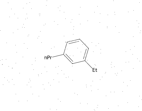 CCCc1[c]ccc(CC)c1